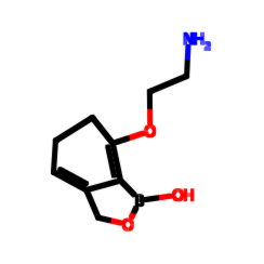 NCCOC1=C2B(O)OCC2=CCC1